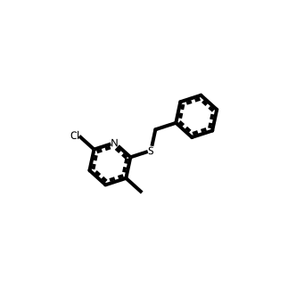 Cc1ccc(Cl)nc1SCc1ccccc1